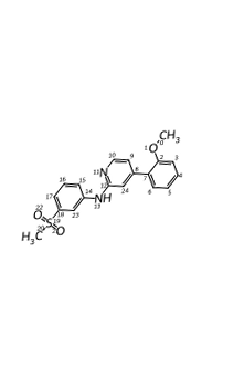 COc1ccccc1-c1ccnc(Nc2cccc(S(C)(=O)=O)c2)c1